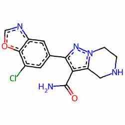 NC(=O)c1c(-c2cc(Cl)c3ocnc3c2)nn2c1CNCC2